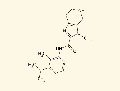 Cc1c(NC(=O)c2nc3c(n2C)CNCC3)cccc1C(C)C